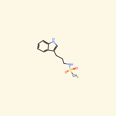 CS(=O)(=O)NCCCc1c[nH]c2ccccc12